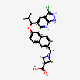 CC(C)C(Oc1ccc2cc(CN3CC(C(=O)O)C3)ccc2c1)c1cnc2[nH]nc(Cl)c2c1